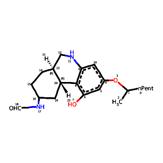 CCCCCC(C)Oc1cc(O)c2c(c1)NC[C@@H]1CCC(NC=O)C[C@@H]21